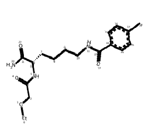 CCOCC(=O)N[C@@H](CCCCNC(=O)c1ccc(C)cc1)C(N)=O